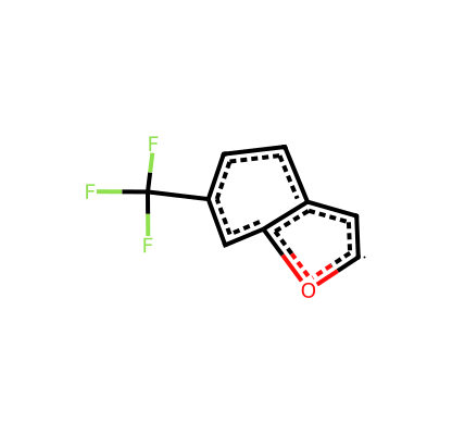 FC(F)(F)c1ccc2c[c]oc2c1